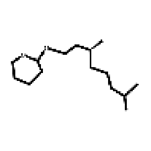 CC(C)CCC[C@H](C)CCOC1CCCCO1